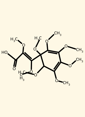 COC1=C(OC)C(OC)C(OC)(C(OC)=C(OC)C(=O)O)C(OC)=C1OC